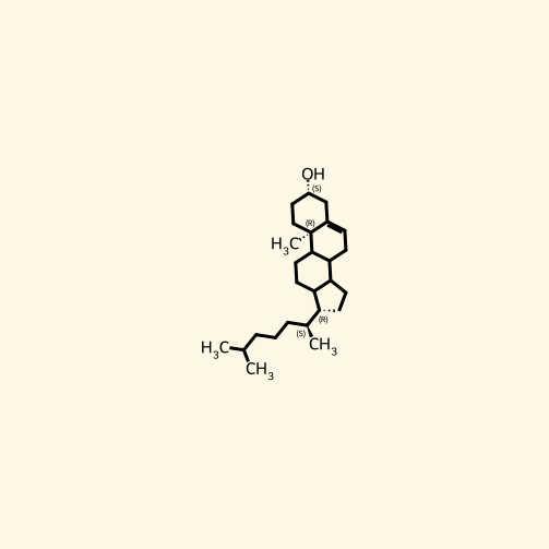 CC(C)CCC[C@H](C)[C@H]1CCC2C3CC=C4C[C@@H](O)CC[C@]4(C)C3CCC21